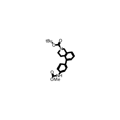 COC(=O)Nc1ccc(-c2cccc3c2CCN(C(=O)OC(C)(C)C)C3)cc1